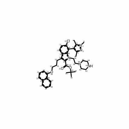 Cc1nn(C)c(C)c1-c1c(Cl)ccc2c(CCCOc3cccc4ccccc34)c(C(=O)OC(C)(C)C)n(CCN3CCNCC3)c12